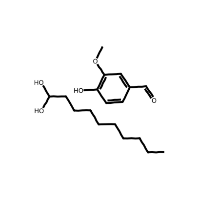 CCCCCCCCCC(O)O.COc1cc(C=O)ccc1O